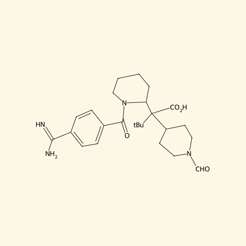 CC(C)(C)C(C(=O)O)(C1CCN(C=O)CC1)C1CCCCN1C(=O)c1ccc(C(=N)N)cc1